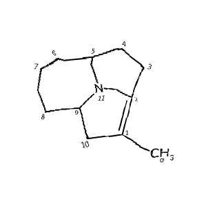 CC1=C2CCC3CCCC(C1)N23